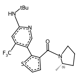 C[C@H]1CCCN1C(=O)c1ccsc1-c1cnc(NC(C)(C)C)cc1C(F)(F)F